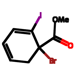 COC(=O)C1(Br)CC=CC=C1I